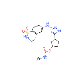 CC(C)NC(=O)O[C@@H]1CC[C@H](c2cc(Nc3ccc4c(c3)CCNS4(=O)=O)n[nH]2)C1